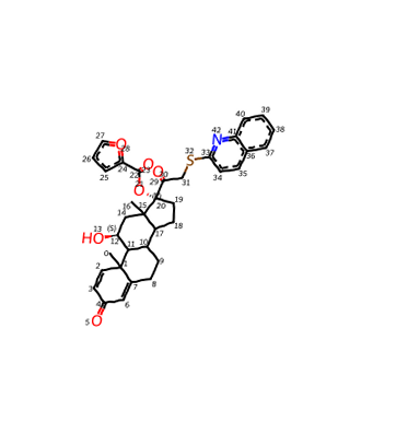 CC12C=CC(=O)C=C1CCC1C2[C@@H](O)CC2(C)C1CC[C@]2(OC(=O)c1ccco1)C(=O)CSc1ccc2ccccc2n1